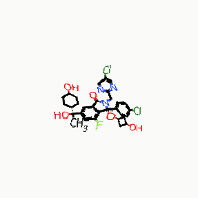 CC(O)(c1cc(F)c2c(c1)C(=O)N(Cc1ncc(Cl)cn1)[C@@]2(O[C@H]1C[C@@H](O)C1)c1ccc(Cl)cc1)[C@H]1CC[C@H](O)CC1